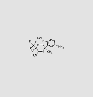 C[C@@]1(c2cc(N)ccc2F)CO[C@@](C)(C(F)(F)F)C(N)=N1.Cl